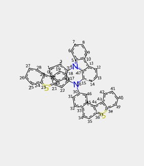 c1ccc(-n2c3ccccc3c3cccc(N(c4ccc5c(c4)sc4ccccc45)c4ccc5ccc6sc7ccccc7c6c5c4)c32)cc1